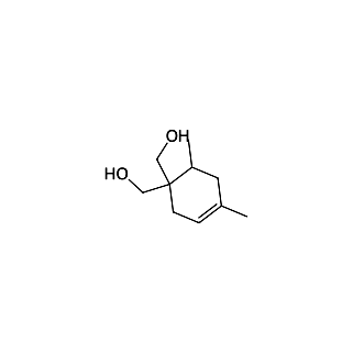 CC1=CCC(CO)(CO)C(C)C1